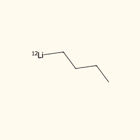 [12Li][CH2]CCC